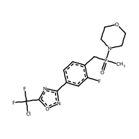 CP(=O)(Cc1ccc(-c2noc(C(F)(F)Cl)n2)cc1F)N1CCOCC1